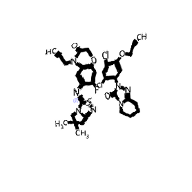 C#CCN1C(=O)COc2cc(F)c(/N=c3\snc4n3CC(C)(C)C4)cc21.C#CCOc1cc(-n2nc3n(c2=O)CCCC3)c(Cl)cc1Cl